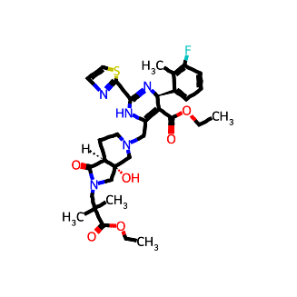 CCOC(=O)C1=C(CN2CC[C@@H]3C(=O)N(CC(C)(C)C(=O)OCC)C[C@]3(O)C2)NC(c2nccs2)=N[C@H]1c1cccc(F)c1C